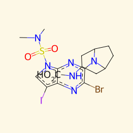 CN(C)S(=O)(=O)n1cc(I)c2nc(Br)c(N3C4CCC3CC(NC(=O)O)C4)nc21